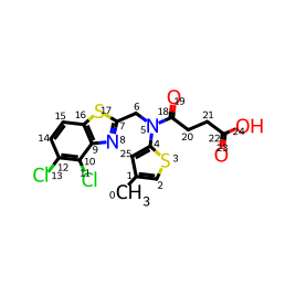 Cc1csc(N(Cc2nc3c(Cl)c(Cl)ccc3s2)C(=O)CCC(=O)O)c1